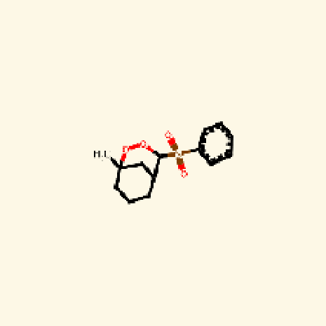 CC12CCCC(C1)C(S(=O)(=O)c1ccccc1)OO2